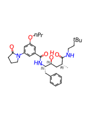 CCCOc1cc(C(=O)N[C@@H](Cc2ccccc2)[C@@H](O)C[C@@H](C)C(=O)NCCC(C)(C)C)cc(N2CCCC2=O)c1